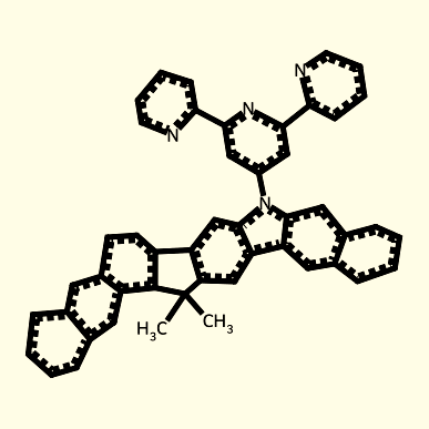 CC1(C)c2cc3c4cc5ccccc5cc4n(-c4cc(-c5ccccn5)nc(-c5ccccn5)c4)c3cc2-c2ccc3cc4ccccc4cc3c21